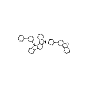 c1ccc(-c2cccc(-n3c4ccccc4c4ccc5c(c6ccccc6n5-c5ccc(-c6ccc7oc8ccccc8c7c6)cc5)c43)c2)cc1